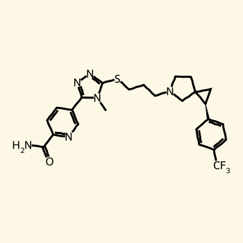 Cn1c(SCCCN2CCC3(C[C@H]3c3ccc(C(F)(F)F)cc3)C2)nnc1-c1ccc(C(N)=O)nc1